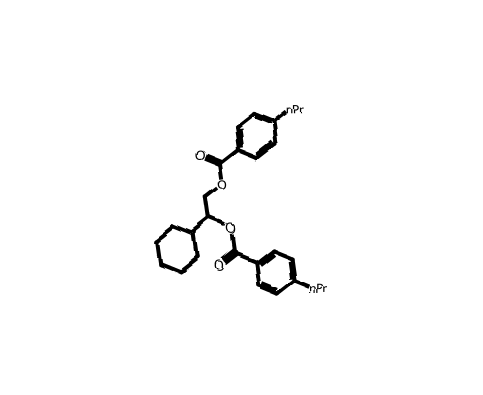 CCCc1ccc(C(=O)OCC(OC(=O)c2ccc(CCC)cc2)C2CCCCC2)cc1